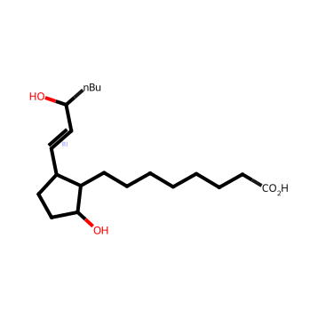 CCCCC(O)/C=C/C1CCC(O)C1CCCCCCCC(=O)O